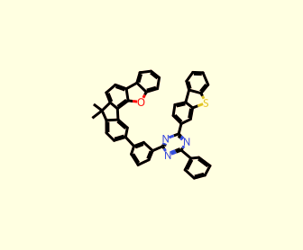 CC1(C)c2ccc(-c3cccc(-c4nc(-c5ccccc5)nc(-c5ccc6c(c5)sc5ccccc56)n4)c3)cc2-c2c1ccc1c2oc2ccccc21